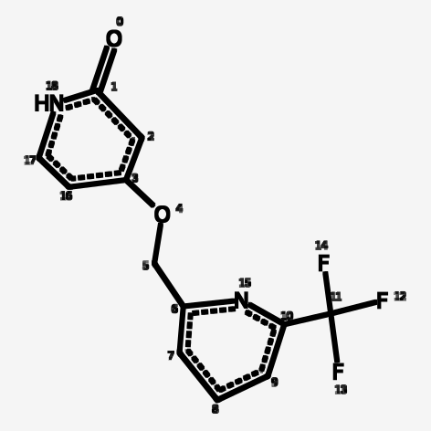 O=c1cc(OCc2cccc(C(F)(F)F)n2)cc[nH]1